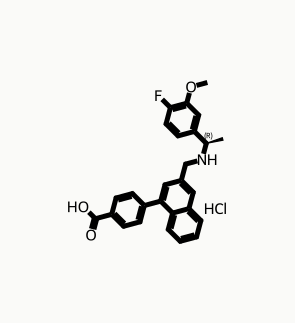 COc1cc([C@@H](C)NCc2cc(-c3ccc(C(=O)O)cc3)c3ccccc3c2)ccc1F.Cl